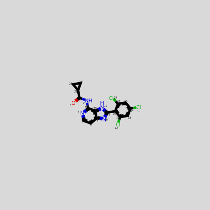 O=C(Nc1nccc2nc(-c3c(Cl)cc(Cl)cc3Cl)[nH]c12)C1CC1